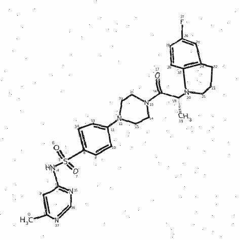 Cc1cc(NS(=O)(=O)c2ccc(N3CCN(C(=O)[C@@H](C)N4CCCc5cc(F)ccc54)CC3)cc2)ncn1